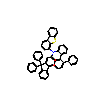 c1ccc(-c2ccccc2-c2ccccc2N(c2ccc3c(c2)C(c2ccccc2)(c2ccccc2)c2ccccc2-3)c2cccc3c2sc2ccccc23)cc1